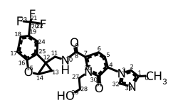 Cc1cn(-c2ccc(C(=O)NCC34CC3Oc3ccc(C(F)(F)F)cc34)n(CCO)c2=O)cn1